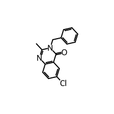 Cc1nc2ccc(Cl)cc2c(=O)n1Cc1ccccc1